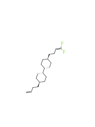 C=CCC[C@H]1CC[C@H]([C@H]2CC[C@H](CCC=C(F)F)CC2)CC1